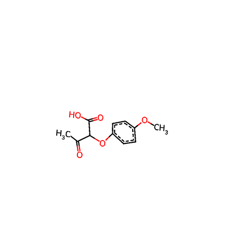 COc1ccc(OC(C(C)=O)C(=O)O)cc1